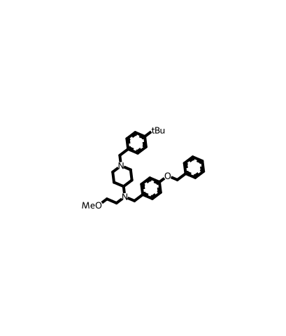 COCCN(Cc1ccc(OCc2ccccc2)cc1)C1CCN(Cc2ccc(C(C)(C)C)cc2)CC1